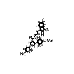 COc1ccc([C@@H]2CN(c3ccc(C#N)nn3)C[C@H]2C(=O)NCCC[C@@H]2NC(=O)c3cc(Cl)ccc32)c(F)c1